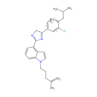 C=C(C)CCCn1ccc2c(C3=NCC(C(/C=C(/Cl)C(=C)CC(C)C)=C/C)=N3)cccc21